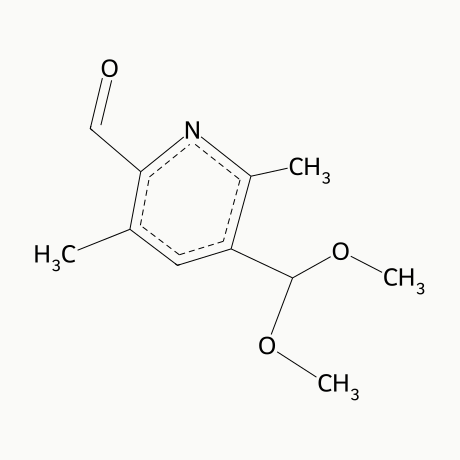 COC(OC)c1cc(C)c(C=O)nc1C